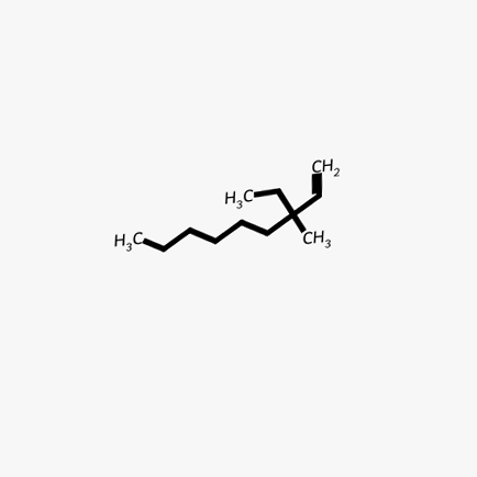 C=CC(C)(CC)CCCCCC